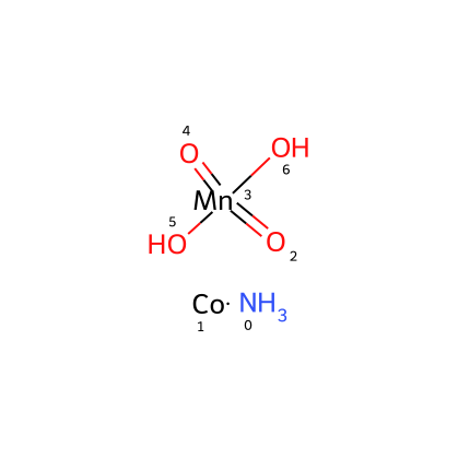 N.[Co].[O]=[Mn](=[O])([OH])[OH]